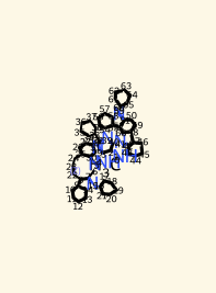 CNc1c(NN2Cc3c(c4ccccc4n3-c3ccccc3)/C=C\Cc3ccccc32)nc(C2C=CC=CC2)nc1-n1c2ccccc2c2ccc3c(c4ccccc4n3-c3ccccc3)c21